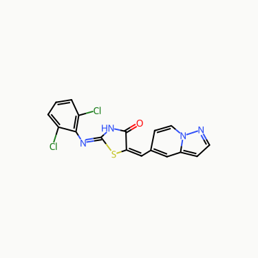 O=C1NC(=Nc2c(Cl)cccc2Cl)SC1=Cc1ccn2nccc2c1